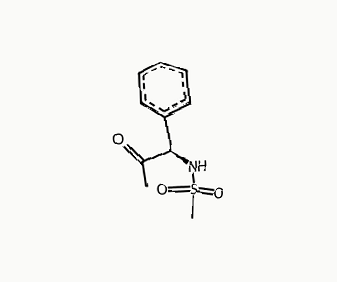 CC(=O)[C@H](NS(C)(=O)=O)c1ccccc1